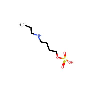 CCCNCCCCOS(=O)(=O)O